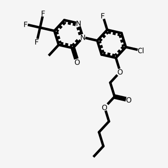 CCCCOC(=O)COc1cc(-n2ncc(C(F)(F)F)c(C)c2=O)c(F)cc1Cl